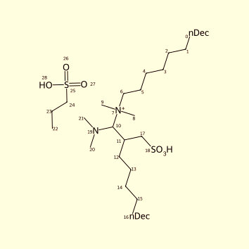 CCCCCCCCCCCCCCCC[N+](C)(C)C(C(CCCCCCCCCCCCCC)CS(=O)(=O)O)N(C)C.CCCS(=O)(=O)O